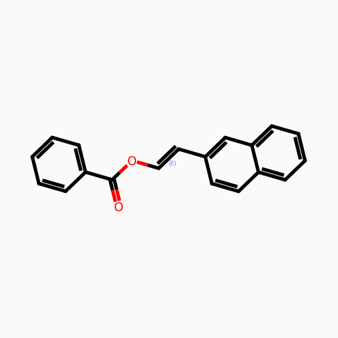 O=C(O/C=C/c1ccc2ccccc2c1)c1ccccc1